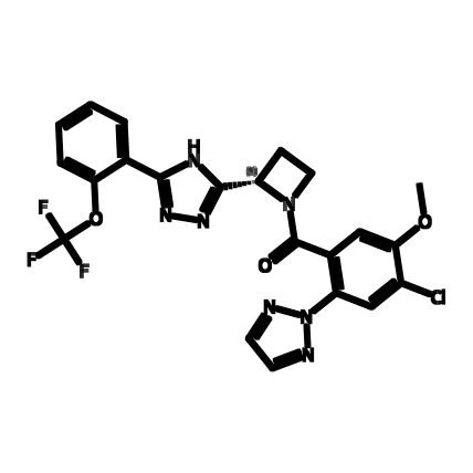 COc1cc(C(=O)N2CC[C@H]2c2nnc(-c3ccccc3OC(F)(F)F)[nH]2)c(-n2nccn2)cc1Cl